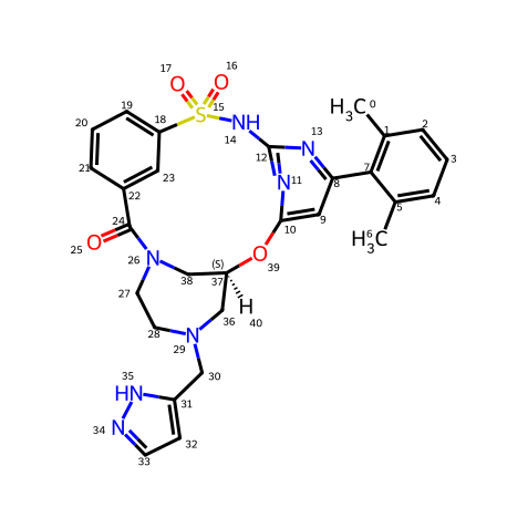 Cc1cccc(C)c1-c1cc2nc(n1)NS(=O)(=O)c1cccc(c1)C(=O)N1CCN(Cc3ccn[nH]3)C[C@@H](C1)O2